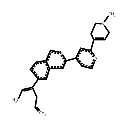 C=CC/C(=C\C)c1ccc2cnc(-c3ccnc(C4=CCN(C)CC4)c3)cc2c1